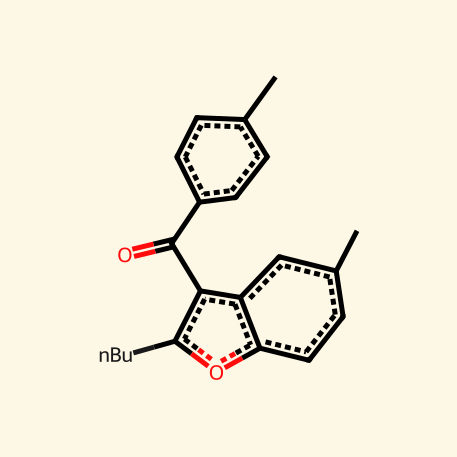 CCCCc1oc2ccc(C)cc2c1C(=O)c1ccc(C)cc1